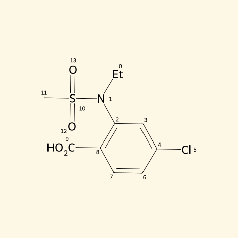 CCN(c1cc(Cl)ccc1C(=O)O)S(C)(=O)=O